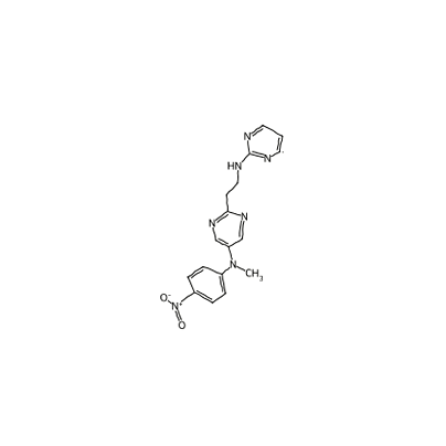 CN(c1ccc([N+](=O)[O-])cc1)c1cnc(CCNc2n[c]ccn2)nc1